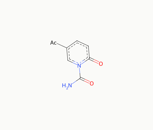 [CH2]C(=O)c1ccc(=O)n(C(N)=O)c1